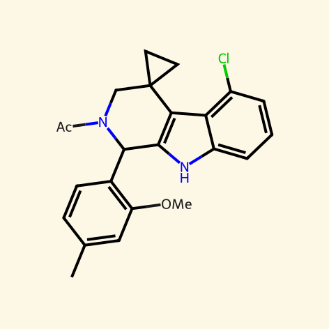 COc1cc(C)ccc1C1c2[nH]c3cccc(Cl)c3c2C2(CC2)CN1C(C)=O